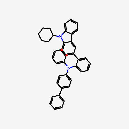 c1ccc(-c2ccc(N(c3ccccc3)c3ccccc3-c3ccc4c(c3)c3ccccc3n4C3CCCCC3)cc2)cc1